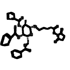 C[C@H]1[C@H](OCCCCC(=O)ON2C(=O)CCC2=O)O[C@H](COC(=O)c2ccccc2)[C@H](OC(=O)c2ccccc2)[C@@H]1OC(=O)c1ccccc1